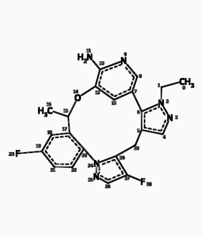 CCn1ncc2c1-c1cnc(N)c(c1)OC(C)c1cc(F)ccc1-n1ncc(F)c1C2